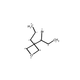 CCCC1(C(Br)CC)COC1